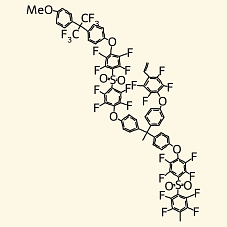 C=Cc1c(F)c(F)c(Oc2ccc(C(C)(c3ccc(Oc4c(F)c(F)c(S(=O)(=O)c5c(F)c(F)c(C)c(F)c5F)c(F)c4F)cc3)c3ccc(Oc4c(F)c(F)c(S(=O)(=O)c5c(F)c(F)c(Oc6ccc(C(c7ccc(OC)cc7)(C(F)(F)F)C(F)(F)F)cc6)c(F)c5F)c(F)c4F)cc3)cc2)c(F)c1F